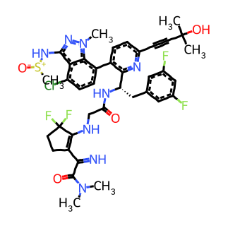 CN(C)C(=O)C(=N)C1=C(NCC(=O)N[C@@H](Cc2cc(F)cc(F)c2)c2nc(C#CC(C)(C)O)ccc2-c2ccc(Cl)c3c(N[S+](C)[O-])nn(C)c23)C(F)(F)CC1